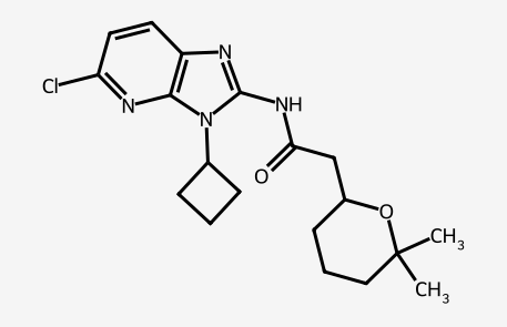 CC1(C)CCCC(CC(=O)Nc2nc3ccc(Cl)nc3n2C2CCC2)O1